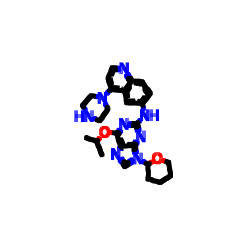 CC(C)Oc1nc(Nc2ccc3nccc(N4CCNCC4)c3c2)nc2c1ncn2C1CCCCO1